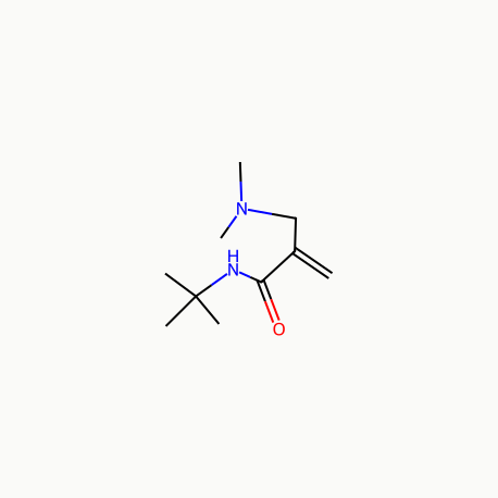 C=C(CN(C)C)C(=O)NC(C)(C)C